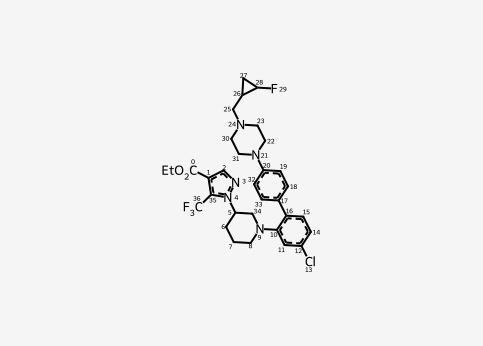 CCOC(=O)c1cnn(C2CCCN(c3cc(Cl)ccc3-c3ccc(N4CCN(CC5CC5F)CC4)cc3)C2)c1C(F)(F)F